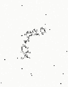 Cc1nn2nc(-c3nccs3)[nH]c2c1N=Nc1ccc(N(C)C)cc1